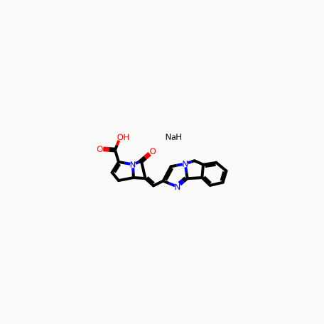 O=C(O)C1=CCC2C(=Cc3cn4c(n3)-c3ccccc3C4)C(=O)N12.[NaH]